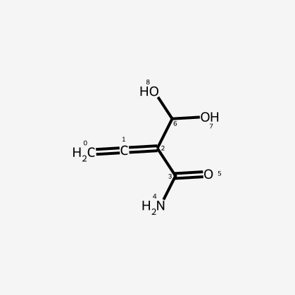 C=C=C(C(N)=O)C(O)O